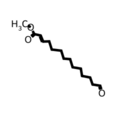 COC(=O)C=CCCCCCCCCCCC=O